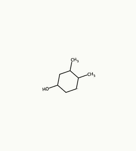 CC1[CH]CC(O)CC1C